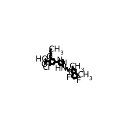 CCCOc1cc(-c2cc(NCCn3c(C)cc4c(C)c(F)cc(F)c43)ncn2)cc(Cl)c1C(=O)O